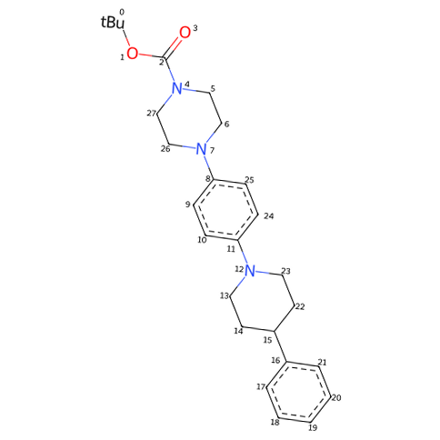 CC(C)(C)OC(=O)N1CCN(c2ccc(N3CCC(c4ccccc4)CC3)cc2)CC1